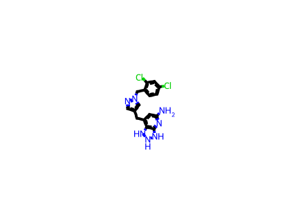 Nc1cc(Cc2cnn(Cc3ccc(Cl)cc3Cl)c2)c2c(n1)NNN2